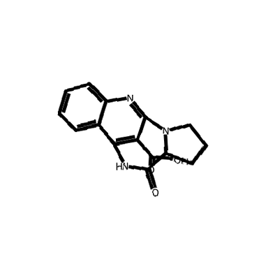 O=C(O)c1c2nc3ccccc3c1NC(=O)C1CCCN21